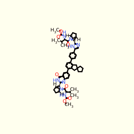 COC(=O)NC(C(=O)N1[C@@H]2CC[C@@H](C2)[C@H]1c1ncc(-c2ccc(-c3ccc(-c4ccc5nc([C@@H]6[C@H]7CC[C@H](C7)N6C(=O)[C@H](NC(=O)OC)C(C)C)[nH]c(=O)c5c4)c4c3CC3(CCCC3)C4)cc2)[nH]1)C(C)C